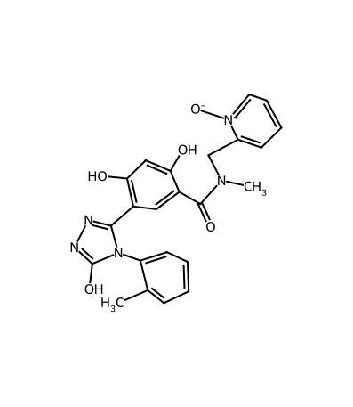 Cc1ccccc1-n1c(O)nnc1-c1cc(C(=O)N(C)Cc2cccc[n+]2[O-])c(O)cc1O